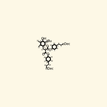 CCCCCCCCCCCCc1ccc(OC(=O)C(Cc2cc(C(C)(C)C)c(O)c(C)c2C)C(=O)Oc2ccc(CCCCCCCCCCCC)cc2)cc1